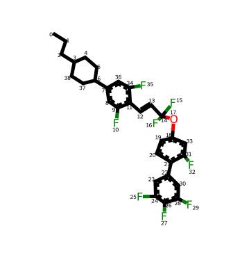 CCCC1CCC(c2cc(F)c(/C=C/C(F)(F)Oc3ccc(-c4cc(F)c(F)c(F)c4)c(F)c3)c(F)c2)CC1